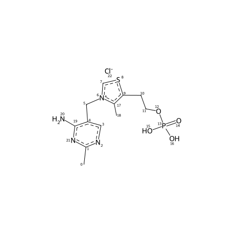 Cc1ncc(C[n+]2csc(CCOP(=O)(O)O)c2C)c(N)n1.[Cl-]